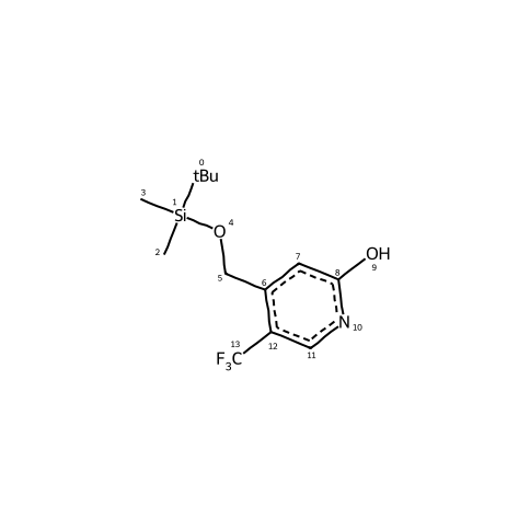 CC(C)(C)[Si](C)(C)OCc1cc(O)ncc1C(F)(F)F